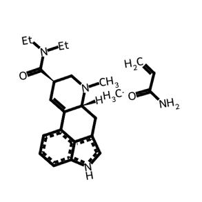 C=CC(N)=O.CCN(CC)C(=O)[C@@H]1C=C2c3cccc4[nH]cc(c34)C[C@H]2N(C)C1.[CH3]